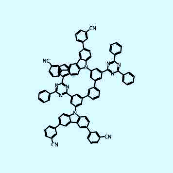 N#Cc1cccc(-c2ccc3c(c2)c2cc(-c4cccc(C#N)c4)ccc2n3-c2cc(-c3cccc(-c4cc(-c5nc(-c6ccccc6)nc(-c6ccccc6)n5)cc(-n5c6ccc(-c7cccc(C#N)c7)cc6c6cc(-c7cccc(C#N)c7)ccc65)c4)c3)cc(-c3nc(-c4ccccc4)nc(-c4ccccc4)n3)c2)c1